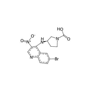 O=C(O)N1CC[C@@H](Nc2c([N+](=O)[O-])cnc3ccc(Br)cc23)C1